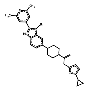 Cc1cc(-c2[nH]c3ccc(C4CCN(C(=O)Cn5ccc(C6CC6)n5)CC4)cc3c2C(C)C)cc(C)n1